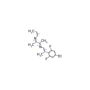 C\C=C/N=C(C)\C(C)=N\C=C(/C)c1c(F)cc(CC)cc1F